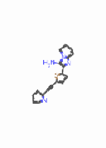 Nc1c(-c2ccc(C#Cc3ccccn3)s2)nc2ccccn12